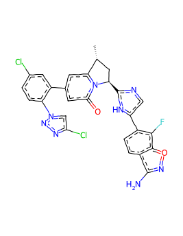 C[C@@H]1C[C@@H](c2ncc(-c3ccc4c(N)noc4c3F)[nH]2)n2c1cc(-c1cc(Cl)ccc1-n1cc(Cl)nn1)cc2=O